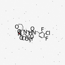 C[C@@H]1CO[C@@]23COCCCC2n2cc(C(=O)NCc4ccc(F)c(Cl)c4F)c(=O)c(O)c2C(=O)N13